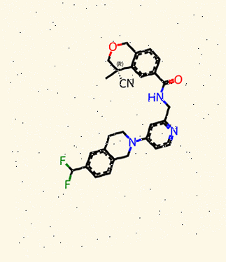 C[C@@]1(C#N)COCc2ccc(C(=O)NCc3cc(N4CCc5cc(C(F)F)ccc5C4)ccn3)cc21